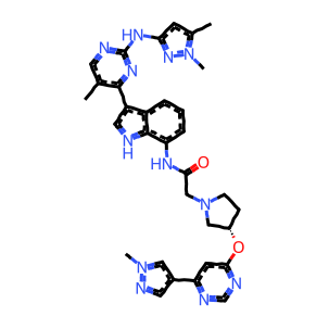 Cc1cnc(Nc2cc(C)n(C)n2)nc1-c1c[nH]c2c(NC(=O)CN3CC[C@H](Oc4cc(-c5cnn(C)c5)ncn4)C3)cccc12